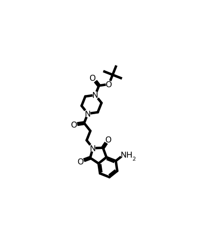 CC(C)(C)OC(=O)N1CCN(C(=O)CCN2C(=O)c3cccc(N)c3C2=O)CC1